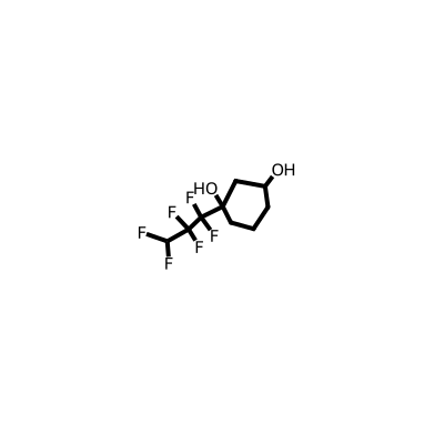 OC1CCCC(O)(C(F)(F)C(F)(F)C(F)F)C1